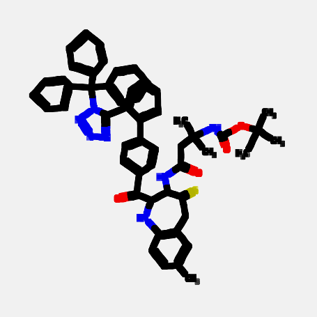 Cc1ccc2c(c1)CC(=S)C(NC(=O)CC(C)(C)NC(=O)OC(C)(C)C)C(C(=O)c1ccc(-c3ccccc3-c3nnnn3C(c3ccccc3)(c3ccccc3)c3ccccc3)cc1)N2